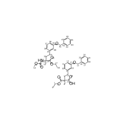 CCOC(=O)C(C)(CCc1cccc(OCc2ccccc2)c1)C(=O)O.CCOC(=O)C(C)(CCc1cccc(OCc2ccccc2)c1)NC(=O)OC